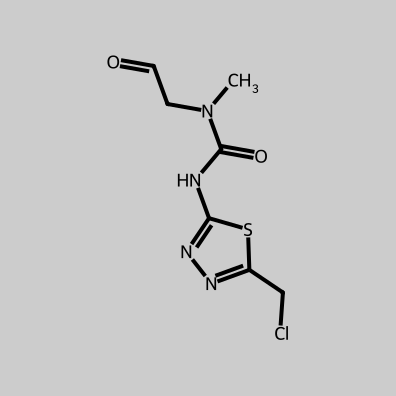 CN(CC=O)C(=O)Nc1nnc(CCl)s1